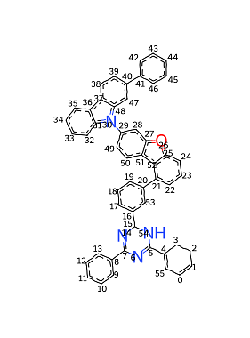 C1=CCCC(C2=NC(c3ccccc3)=NC(c3cccc(-c4cccc5oc6cc(-n7c8ccccc8c8ccc(-c9ccccc9)cc87)ccc6c45)c3)N2)=C1